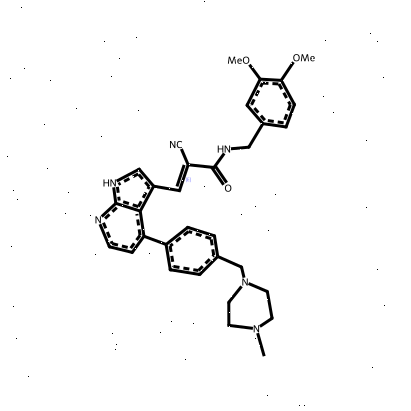 COc1ccc(CNC(=O)/C(C#N)=C/c2c[nH]c3nccc(-c4ccc(CN5CCN(C)CC5)cc4)c23)cc1OC